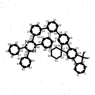 CC1(C)c2ccccc2-c2cc3c(cc21)-c1ccc(-c2cccc(-c4cccc(-c5nc(-c6ccccc6)c(-c6ccccc6)nc5-c5ccccc5)c4)c2)cc1C31CCCCC1